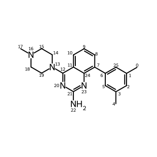 Cc1cc(C)cc(-c2cccc3c(N4CCN(C)CC4)nc(N)nc23)c1